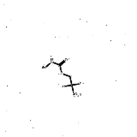 CC(C)NC(=O)OCC(F)(F)S(=O)(=O)O